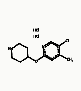 Cc1cc(OC2CCNCC2)ncc1Cl.Cl.Cl